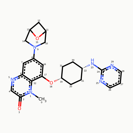 Cn1c(=O)cnc2cc(N3CC4CC(C3)O4)cc(O[C@H]3CC[C@@H](Nc4ncccn4)CC3)c21